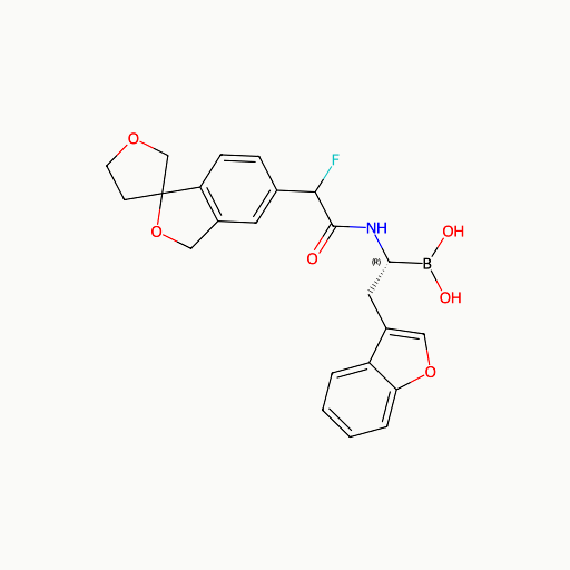 O=C(N[C@@H](Cc1coc2ccccc12)B(O)O)C(F)c1ccc2c(c1)COC21CCOC1